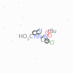 CC(C)(C)OC(=O)N(CC(C#N)Nc1cncc2ccc(C(=O)O)cc12)c1cccc(Cl)c1